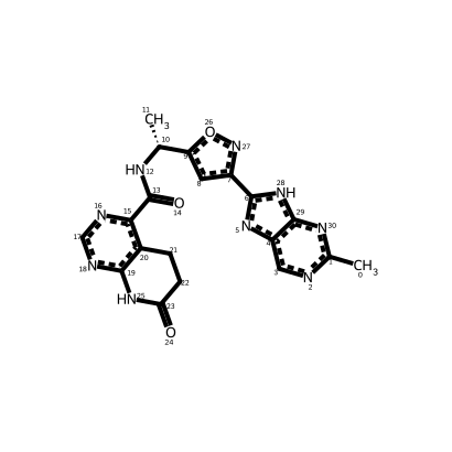 Cc1ncc2nc(-c3cc([C@@H](C)NC(=O)c4ncnc5c4CCC(=O)N5)on3)[nH]c2n1